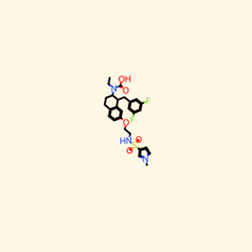 CCN(C(=O)O)C1CCc2ccc(OCCNS(=O)(=O)c3ccn(C)c3)cc2C1Cc1cc(F)cc(F)c1